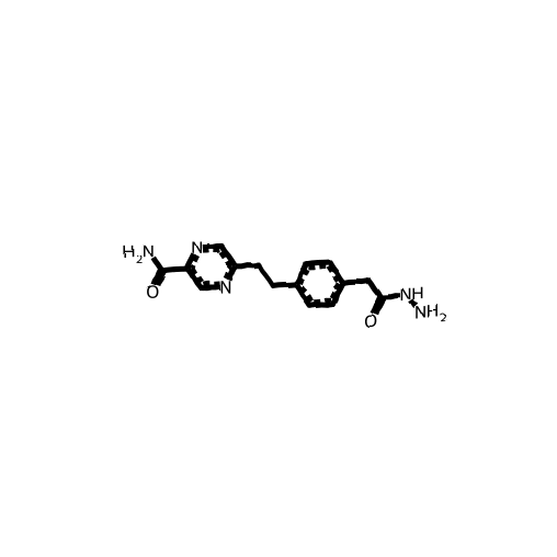 NNC(=O)Cc1ccc(CCc2cnc(C(N)=O)cn2)cc1